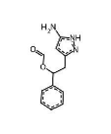 Nc1cc(CC(OC=O)c2ccccc2)n[nH]1